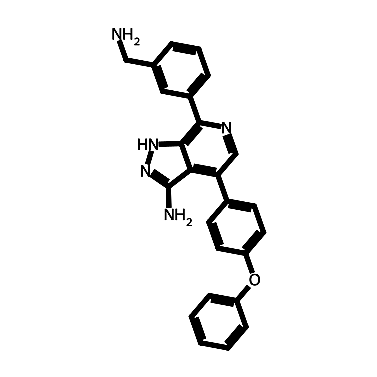 NCc1cccc(-c2ncc(-c3ccc(Oc4ccccc4)cc3)c3c(N)n[nH]c23)c1